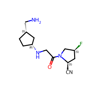 N#C[C@@H]1C[C@H](F)CN1C(=O)CN[C@@H]1CC[C@H](CN)C1